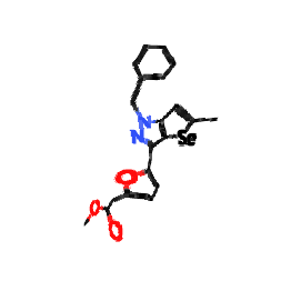 COC(=O)c1ccc(-c2nn(Cc3ccccc3)c3cc(C)[se]c23)o1